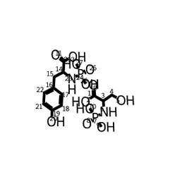 O=C(O)C(CO)NP(=O)(O)O.O=C(O)C(Cc1ccc(O)cc1)NP(=O)(O)O